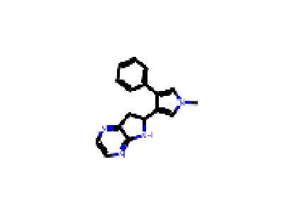 Cn1cc(-c2ccccc2)c(C2Cc3nccnc3N2)c1